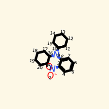 O=[N+]([O-])c1ccccc1N(C1CCCCC1)C1CCCCC1